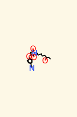 CCC(=O)CCCCCN1C(=O)C=C(Oc2ccc(C#N)cc2)C1=O